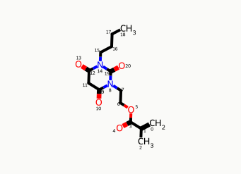 C=C(C)C(=O)OCCN1C(=O)CC(=O)N(CCCC)C1=O